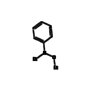 CCON(CC)c1ccccc1